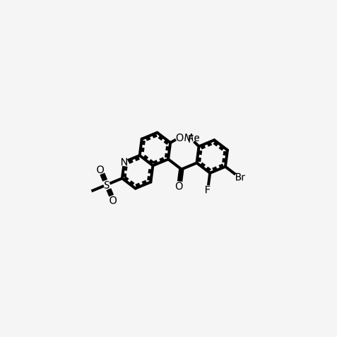 COc1ccc2nc(S(C)(=O)=O)ccc2c1C(=O)c1c(F)ccc(Br)c1F